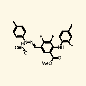 COC(=O)c1cc(/C=N/N(c2ccc(C)cc2)[SH](=O)=O)c(F)c(F)c1Nc1ccc(I)cc1F